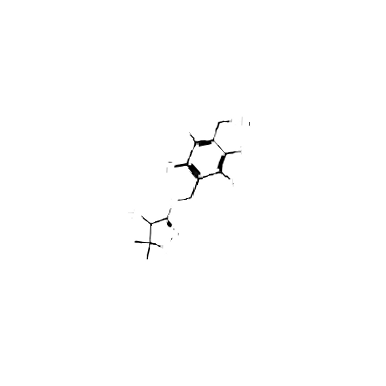 CC1(C)ON=C(SCc2c(F)c(F)c(CO)c(F)c2F)C1Br